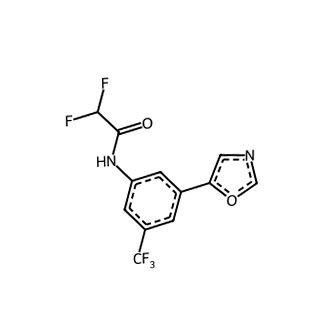 O=C(Nc1cc(-c2cnco2)cc(C(F)(F)F)c1)C(F)F